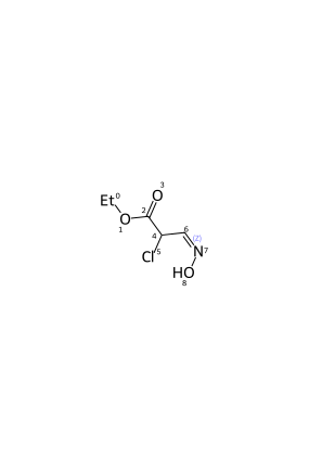 CCOC(=O)C(Cl)/C=N\O